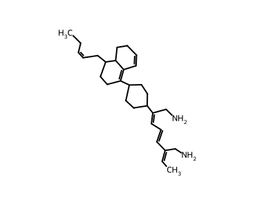 C/C=C(/C=C/C=C(\CN)C1CCC(C2=C3C=CCCC3C(C/C=C\CC)CC2)CC1)CN